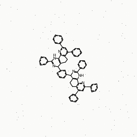 c1ccc(C2=NC(c3cccc(C4N=C(c5ccccc5)NC5=C4CCc4c(-c6ccccc6)cc(-c6ccccc6)nc45)c3)C3=C(N2)c2nc(-c4ccccc4)cc(-c4ccccc4)c2CC3)cc1